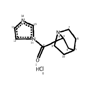 Cl.O=C(C1CC2CCN1CC2)n1ccnc1